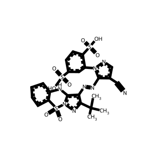 CC(C)(C)c1nn2c(c1/N=N/c1c(C#N)cnn1-c1cc(S(=O)(=O)O)ccc1S(=O)(=O)O)Nc1ccccc1S2(=O)=O